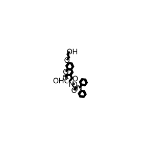 O=C/C(=N/OC(=O)N(c1ccccc1)c1ccccc1)C(=O)c1cc2ccc(OCCO)cc2oc1=O